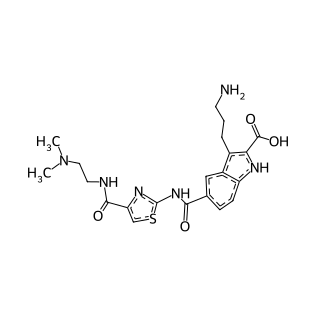 CN(C)CCNC(=O)c1csc(NC(=O)c2ccc3[nH]c(C(=O)O)c(CCCN)c3c2)n1